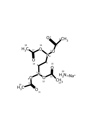 CC(=O)ON(CCN(OC(C)=O)OC(C)=O)OC(C)=O.N.[Na+]